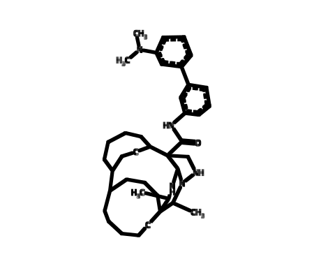 CC1NC2N3NCC2(C(=O)Nc2cccc(-c4cccc(N(C)C)c4)c2)C2CCCCC(CC2)C2CCCCCC1(CCC2)C3C